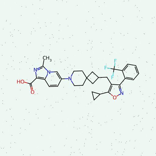 Cc1nc(C(=O)O)c2ccc(N3CCC4(CC3)CC(Cc3c(-c5ccccc5C(F)(F)F)noc3C3CC3)C4)cn12